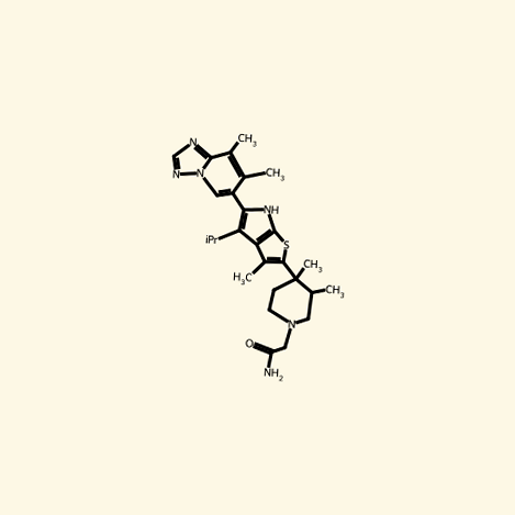 Cc1c(-c2[nH]c3sc(C4(C)CCN(CC(N)=O)CC4C)c(C)c3c2C(C)C)cn2ncnc2c1C